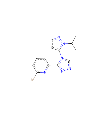 CC(C)n1nccc1-n1cnnc1-c1cccc(Br)n1